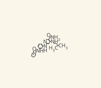 CC(C)CCNc1cc(Nc2cccc(NC(=O)N3CCCC3)c2)ncc1C(N)=O